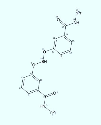 CCCNC(=O)c1cccc(OBOc2cccc(C(=O)NCCC)c2)c1